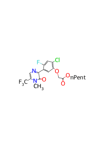 CCCCCOC(=O)COc1cc(-c2ncc(C(F)(F)F)n(C)c2=O)c(F)cc1Cl